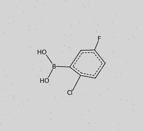 OB(O)c1cc(F)ccc1Cl